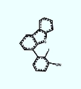 CC(C)(C)c1cccc(-c2cccc3c2sc2ccccc23)c1I